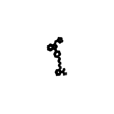 O=C(O)c1ccccc1OCOCCN1CCC(c2cn(Cc3ccoc3)c3cnccc23)CC1